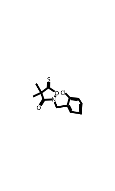 CC1(C)C(=O)N(Cc2ccccc2Cl)OC1=S